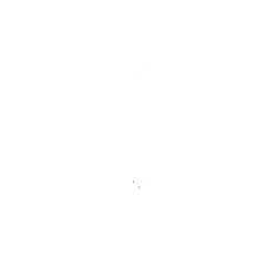 O=[N+](O)c1ccc(CP(=O)([O-])O)cc1